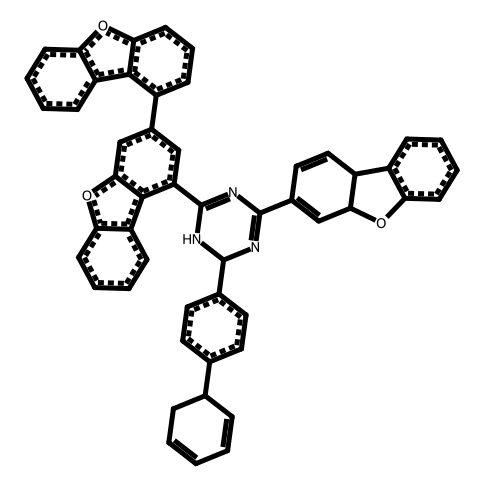 C1=CCC(c2ccc(C3N=C(C4=CC5Oc6ccccc6C5C=C4)N=C(c4cc(-c5cccc6oc7ccccc7c56)cc5oc6ccccc6c45)N3)cc2)C=C1